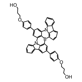 OCCCOc1ccc(-c2cc3c4c(c2)-n2c5ccccc5c5cc(-c6ccc(OCCCO)cc6)cc(c52)B4c2cccc4c5ccccc5n-3c24)cc1